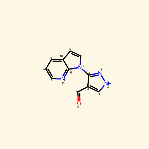 O=Cc1c[nH]nc1-n1ccc2cccnc21